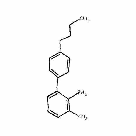 CCCCc1ccc(-c2cccc(C)c2P)cc1